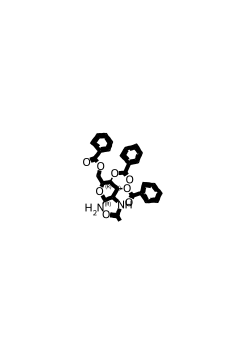 CC(=O)NC1[C@H](N)OC(COC(=O)c2ccccc2)[C@H](OC(=O)c2ccccc2)[C@@H]1OC(=O)c1ccccc1